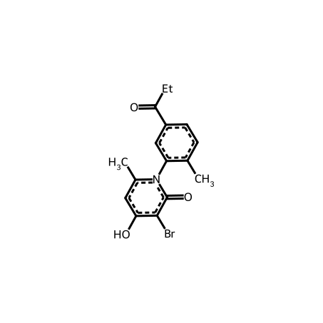 CCC(=O)c1ccc(C)c(-n2c(C)cc(O)c(Br)c2=O)c1